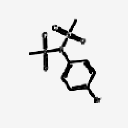 CS(=O)(=O)N(c1ccc(Br)cc1)S(C)(=O)=O